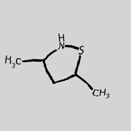 CC1CC(C)SN1